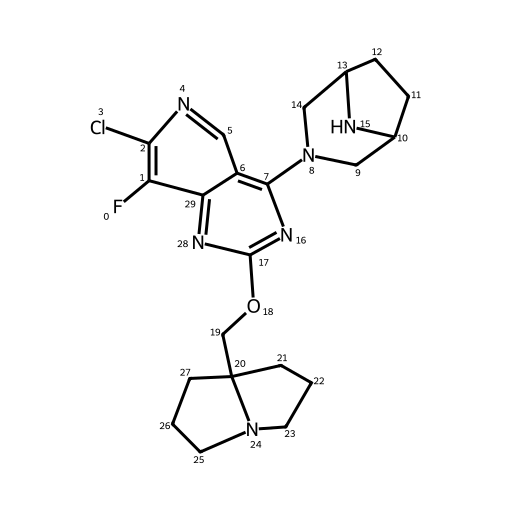 Fc1c(Cl)ncc2c(N3CC4CCC(C3)N4)nc(OCC34CCCN3CCC4)nc12